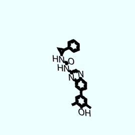 Cc1cc(-c2ccc3ncc(NC(=O)NC4CC4c4ccccc4)nc3c2)cc(C)c1O